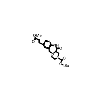 COC(=O)/C=C/c1cnc2c(c1)CN1CCN(C(=O)OC(C)(C)C)CC1C(=O)N2